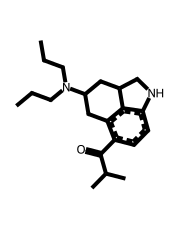 CCCN(CCC)C1Cc2c(C(=O)C(C)C)ccc3c2C(CN3)C1